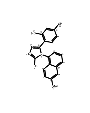 COc1ccc2c(-n3c(S)nnc3-c3ccc(O)cc3O)cccc2c1